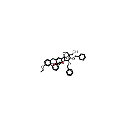 CCOc1ccc(Cc2cc(C34OCC(CO)(O3)[C@@H](OCc3ccccc3)[C@H](OCc3ccccc3)C4OCc3ccccc3)ccc2Cl)cc1